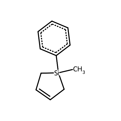 C[Si]1(c2ccccc2)CC=CC1